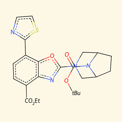 CCOC(=O)c1ccc(-c2nccs2)c2oc(N3CC4CCC(C3)N4C(=O)OC(C)(C)C)nc12